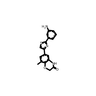 Cc1cc(-c2csc(-c3cccc(N)c3)n2)cc2c1OCC(=O)N2